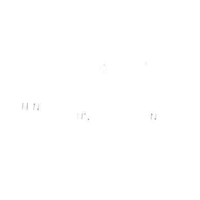 CCOC(=O)c1c(Nc2ccccc2N)c(C)cn1C